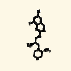 C[C@@H](COc1ncc2cc(Cl)cc(F)c2n1)CN1CCOC[C@H]1C